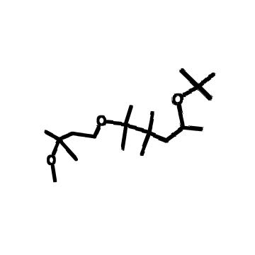 COC(C)(C)CCOC(C)(C)C(C)(C)CC(C)OC(C)(C)C